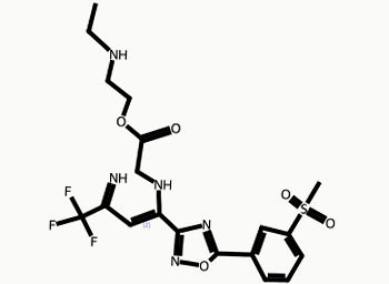 CCNCCOC(=O)CN/C(=C\C(=N)C(F)(F)F)c1noc(-c2cccc(S(C)(=O)=O)c2)n1